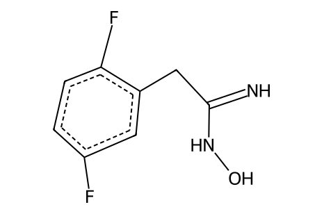 N=C(Cc1cc(F)ccc1F)NO